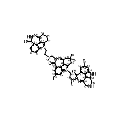 CN(CCn1c2c3c4c(cccc41)C(=O)NN=C3CCC2)CN1N=C2CC(C)(C)Cc3c2c2c(cc(F)cc2n3CCN(C)N2N=C3CNCc4[nH]c5cc(F)cc(c5c43)C2=O)C1=O